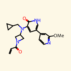 C=CC(=O)N1CC(N(CC2CC2)c2cc(-c3ccnc(OC)c3)c[nH]c2=O)C1